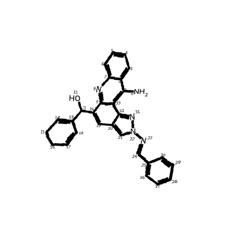 Nc1c2ccccc2nc2c(C(O)C3=CCCC=C3)cc3cn(N=Cc4ccccc4)nc3c12